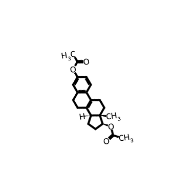 CC(=O)Oc1ccc2c(c1)CCC1=C2CC[C@]2(C)[C@@H](OC(C)=O)CC[C@@H]12